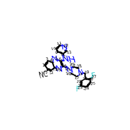 N#Cc1ccc2nc(Nc3cccnc3)c(N3CCN(Cc4cc(F)ccc4F)CC3)nc2c1